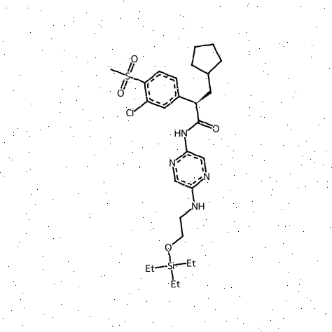 CC[Si](CC)(CC)OCCNc1cnc(NC(=O)[C@H](CC2CCCC2)c2ccc(S(C)(=O)=O)c(Cl)c2)cn1